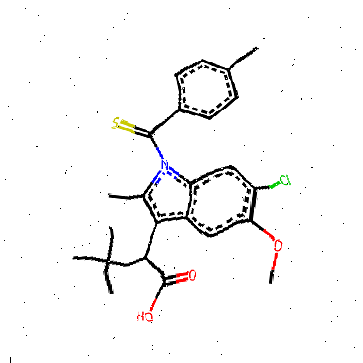 COc1cc2c(C(C(=O)O)C(C)(C)C)c(C)n(C(=S)c3ccc(C)cc3)c2cc1Cl